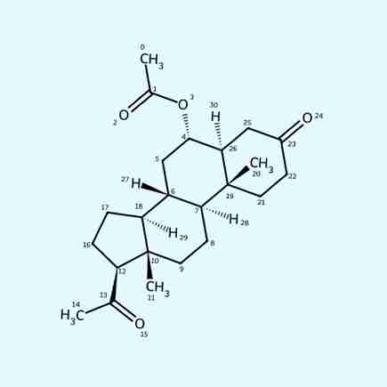 CC(=O)O[C@H]1C[C@@H]2[C@H](CC[C@]3(C)[C@@H](C(C)=O)CC[C@@H]23)[C@@]2(C)CCC(=O)C[C@H]12